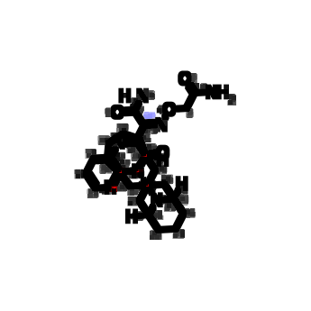 NC(=O)CO/N=C(\C(N)=O)c1nc2ccccc2n([C@H]2C[C@H]3CCC[C@@H](C2)N3[C@@H]2C[C@@H]3CCCC[C@@H](C3)C2)c1=O